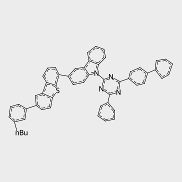 CCCCc1cccc(-c2ccc3sc4c(-c5ccc6c(c5)c5ccccc5n6-c5nc(-c6ccccc6)nc(-c6ccc(-c7ccccc7)cc6)n5)cccc4c3c2)c1